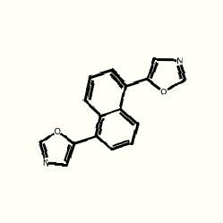 c1cc(-c2cnco2)c2cccc(-c3cnco3)c2c1